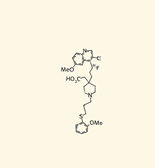 COc1ccc2ncc(Cl)c([C@H](F)CCC3(CC(=O)O)CCN(CCCSc4ccccc4OC)CC3)c2c1